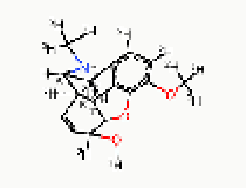 [2H]OC1([2H])C=C[C@@]2([2H])[C@@H]3N(C([2H])([2H])[2H])CC[C@@]24c2c(c(OC([2H])([2H])[2H])c([2H])c([2H])c2C3([2H])[2H])OC14